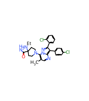 CCNC1(C(N)=O)CCN(c2c(C)cnc3c(-c4ccc(Cl)cc4)c(-c4ccccc4Cl)nn23)CC1